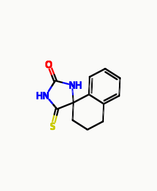 O=C1NC(=S)C2(CCCc3ccccc32)N1